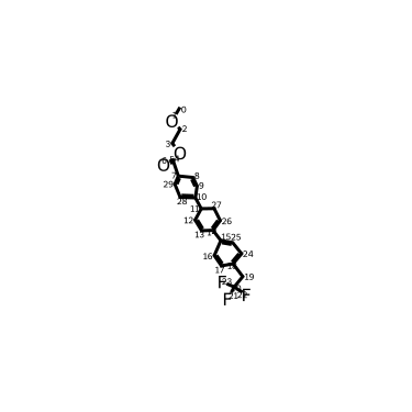 COCCOC(=O)c1ccc(C2C=CC(c3ccc(CC(F)(F)F)cc3)=CC2)cc1